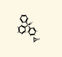 C1CN1.O=P(c1ccccc1)(c1ccccc1)c1ccccc1